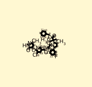 CCC(CC)(C(=O)OCc1ccccc1)[C@H]1CC[C@@H](c2cccc(F)c2)N1C(=O)[C@@H](C)NC(=O)c1cnc(Oc2cc(C)n[nH]c2=O)c(Cl)c1